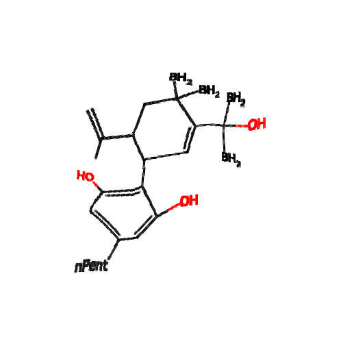 BC(B)(O)C1=CC(c2c(O)cc(CCCCC)cc2O)C(C(=C)C)CC1(B)B